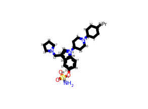 CC(C)C1CCC(N2CCC(n3cc(CN4CCCC4)c4cc(OS(N)(=O)=O)ccc43)CC2)CC1